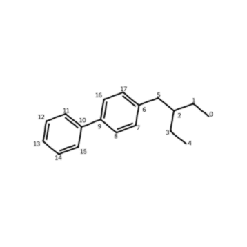 CCC(CC)Cc1ccc(-c2ccccc2)cc1